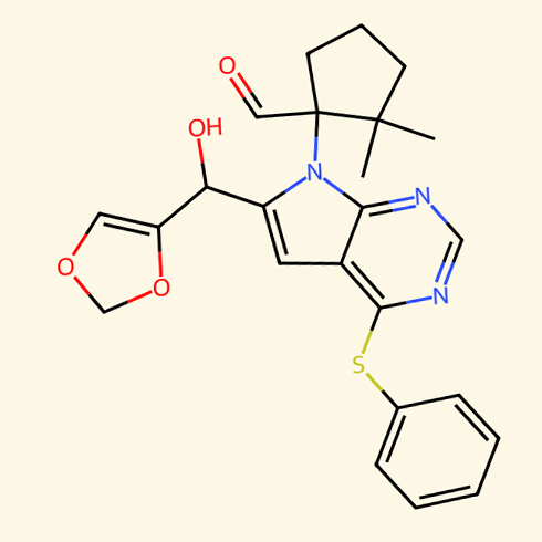 CC1(C)CCCC1(C=O)n1c(C(O)C2=COCO2)cc2c(Sc3ccccc3)ncnc21